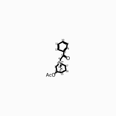 CC(=O)OC1C[N+]2(CC(=O)c3ccccc3)CCC1CC2